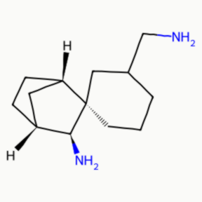 NCC1CCC[C@@]2(C1)[C@H]1CC[C@H](C1)[C@@H]2N